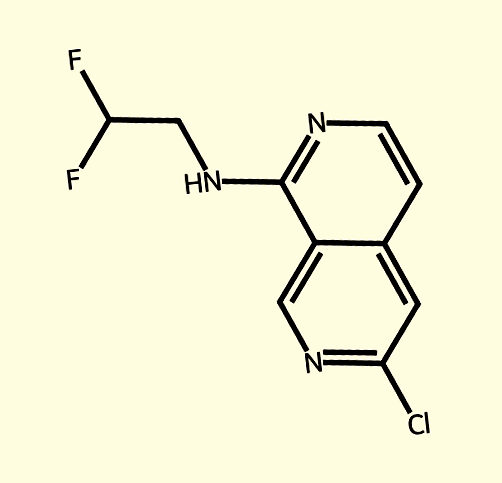 FC(F)CNc1nccc2cc(Cl)ncc12